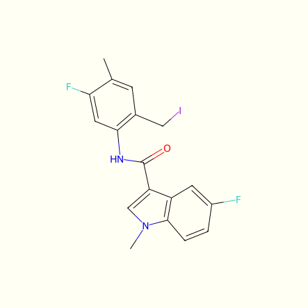 Cc1cc(CI)c(NC(=O)c2cn(C)c3ccc(F)cc23)cc1F